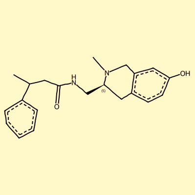 CC(CC(=O)NC[C@@H]1Cc2ccc(O)cc2CN1C)c1ccccc1